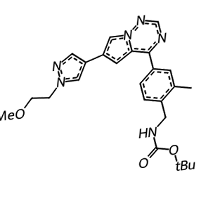 COCCn1cc(-c2cc3c(-c4ccc(CNC(=O)OC(C)(C)C)c(C)c4)ncnn3c2)cn1